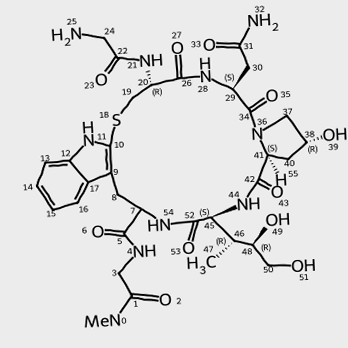 CNC(=O)CNC(=O)C1Cc2c([nH]c3ccccc23)SC[C@H](NC(=O)CN)C(=O)N[C@@H](CC(N)=O)C(=O)N2C[C@H](O)C[C@H]2C(=O)N[C@@H]([C@@H](C)[C@@H](O)CO)C(=O)N1